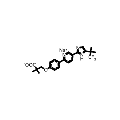 CC(C)(COc1ccc(-c2ccc(-c3ncc(C(C)(C)C(F)(F)F)[nH]3)cn2)cc1)C(=O)[O-].[Na+]